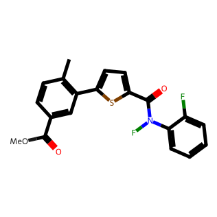 COC(=O)c1ccc(C)c(-c2ccc(C(=O)N(F)c3ccccc3F)s2)c1